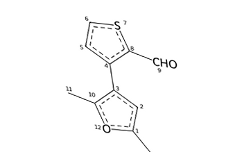 Cc1cc(-c2ccsc2C=O)c(C)o1